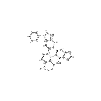 CCC(Nc1ncnc2[nH]cnc12)c1cc(-c2cnc3[nH]nc(-c4cccnc4)c3c2)cnc1OC